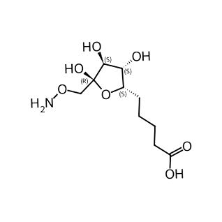 NOC[C@@]1(O)O[C@@H](CCCCC(=O)O)[C@@H](O)[C@@H]1O